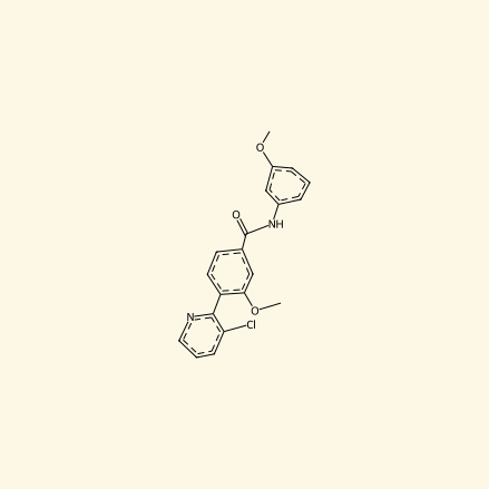 COc1cccc(NC(=O)c2ccc(-c3ncccc3Cl)c(OC)c2)c1